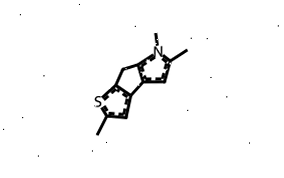 Cc1cc2c(s1)Cc1c-2cc(C)n1C